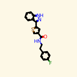 O=C(NCCc1ccc(F)cc1)c1csc(-c2n[nH]c3ccccc23)c1